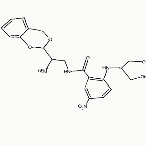 CCCCC(CNC(=O)c1cc([N+](=O)[O-])ccc1NC(CO)CO)C1OCc2ccccc2O1